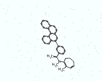 C=C(c1cccc(-c2cc3ccc4ccccc4c3c3ccccc23)c1)N(C)C1=C(C)C=CCCC1